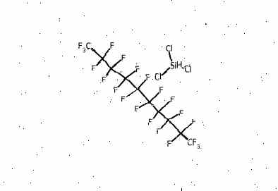 Cl[SiH](Cl)Cl.FC(F)(F)C(F)(F)C(F)(F)C(F)(F)C(F)(F)C(F)(F)C(F)(F)C(F)(F)C(F)(F)C(F)(F)F